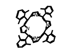 Cc1cccc(C)c1-c1c2nc(c(-c3c(C)cccc3C)c3ccc([nH]3)c(-c3c(C)cccc3C)c3nc(c(-c4c(C)cccc4C)c4ccc1[nH]4)C=C3)C=C2